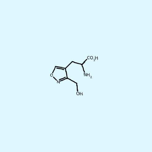 NC(Cc1conc1CO)C(=O)O